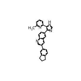 Cc1cccc(-c2[nH]cnc2-c2ccc3ncc(-c4ccc5c(c4)CCC5)cc3c2)n1